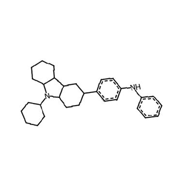 c1ccc(Nc2ccc(C3CCC4C(C3)C3CCCCC3N4C3CCCCC3)cc2)cc1